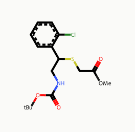 COC(=O)CSC(CNC(=O)OC(C)(C)C)c1ccccc1Cl